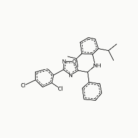 CC(C)c1cccc(C(C)C)c1NC(c1ccccc1)c1nc(-c2ccc(Cl)cc2Cl)no1